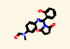 CN(C=O)c1ccc(/N=C(/c2ccccc2O)N2C(=O)CCC2=O)cc1